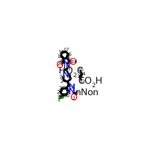 CCCCCCCCCC(=O)n1nc(C2CCN(CCN3C(=O)c4ccccc4C3=O)CC2)c2ccc(F)cc21.O=C(O)C=CC(=O)O